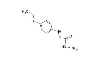 CCOc1ccc(NCC(=O)NN)cc1